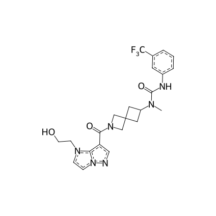 CN(C(=O)Nc1cccc(C(F)(F)F)c1)C1CC2(C1)CN(C(=O)c1cnn3ccn(CCO)c13)C2